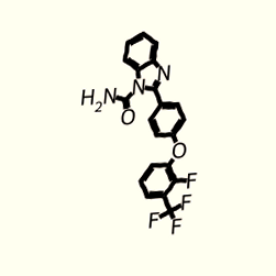 NC(=O)n1c(-c2ccc(Oc3cccc(C(F)(F)F)c3F)cc2)nc2ccccc21